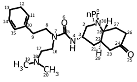 CCCN1C[C@@H](NC(=O)N(CCC2=CCCC=C2)CCN(C)C)C[C@@H]2CC(=O)CC[C@H]21